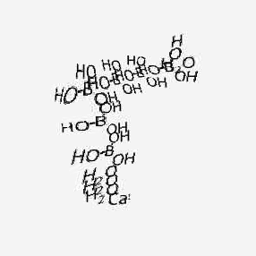 O.O.O.O.OB(O)O.OB(O)O.OB(O)O.OB(O)O.OB(O)O.OB(O)O.[Ca]